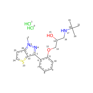 Cl.Cl.Cn1nc(-c2ccccc2OCC(O)CNC(C)(C)C)c2sccc21